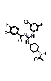 CC(=O)N[C@H]1CC[C@H](N/C(=N\C(=O)c2ccc(F)c(F)c2)Nc2cc(F)cc(Cl)c2)CC1